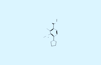 COC(=O)c1ccc(C2CCCC2)c(S(C)(=O)=O)c1C